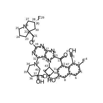 C#Cc1c(F)ccc2cc(O)cc(C(=O)c3nc4nc(OC[C@@]56CCCN5C[C@H](F)C6)nc(N5CCC[C@@](C)(O)C5)c4n3C3CCC3)c12